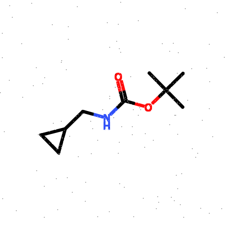 CC(C)(C)OC(=O)NCC1CC1